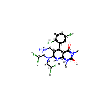 Cn1c(=O)c2c(-c3cc(F)ccc3Br)c(CN)c(N(CC(F)F)CC(F)F)nc2n(C)c1=O